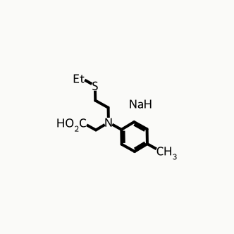 CCSCCN(CC(=O)O)c1ccc(C)cc1.[NaH]